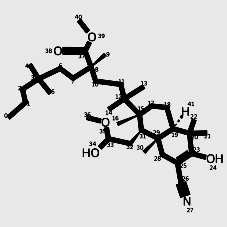 CCCC(C)(C)CC[C@@](C)(CCC(C)(C)[C@]1(C)CC[C@H]2C(C)(C)C(O)=C(C#N)C[C@]2(C)[C@H]1CC(O)OC)C(=O)OC